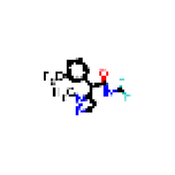 Cn1nccc1C(C(=O)NC(F)F)c1cccc(C(F)(F)F)c1